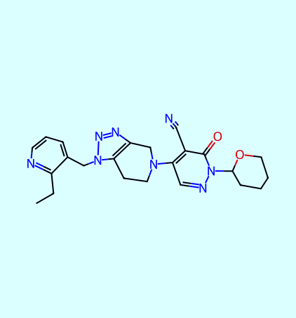 CCc1ncccc1Cn1nnc2c1CCN(c1cnn(C3CCCCO3)c(=O)c1C#N)C2